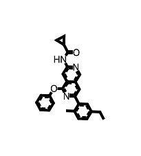 CCc1ccc(C)c(-c2cc3cnc(NC(=O)C4CC4)cc3c(Oc3ccccc3)n2)c1